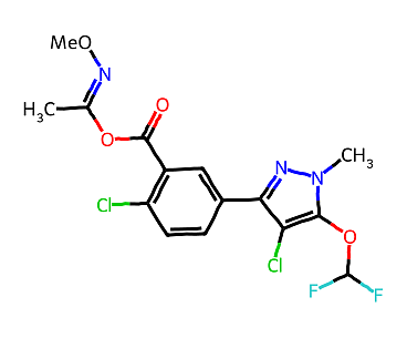 CON=C(C)OC(=O)c1cc(-c2nn(C)c(OC(F)F)c2Cl)ccc1Cl